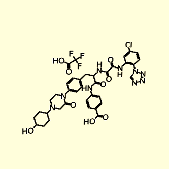 O=C(Nc1cc(Cl)ccc1-n1cnnn1)C(=O)NC(Cc1ccc(N2CCN(C3CCC(O)CC3)CC2=O)cc1)C(=O)Nc1ccc(C(=O)O)cc1.O=C(O)C(F)(F)F